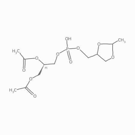 CC(=O)OC[C@H](COP(=O)(O)OCC1COC(C)O1)OC(C)=O